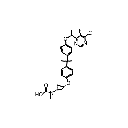 CC(Oc1ccc(C(C)(C)c2ccc(O[C@H]3C[C@H](NC(=O)O)C3)cc2)cc1)c1ncnc(Cl)c1F